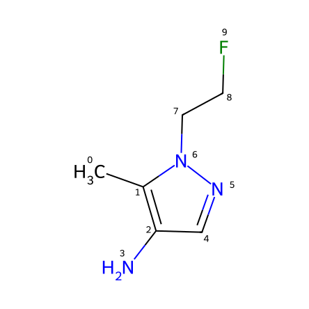 Cc1c(N)cnn1CCF